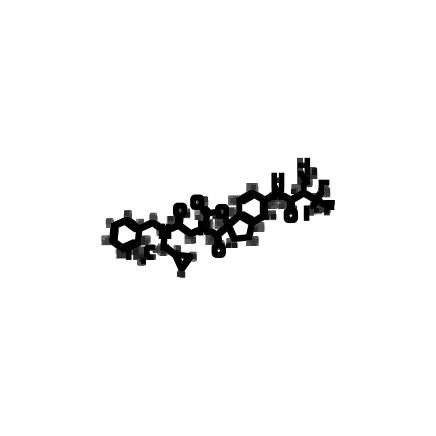 C[C@@H](C1CC1)N(Cc1ccccc1)C(=O)CN1C(=O)OC2(CCc3cc(NC(=O)C(N)C(F)(F)F)ccc32)C1=O